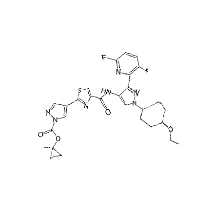 CCOC1CCC(n2cc(NC(=O)c3csc(-c4cnn(C(=O)OC5(C)CC5)c4)n3)c(-c3nc(F)ccc3F)n2)CC1